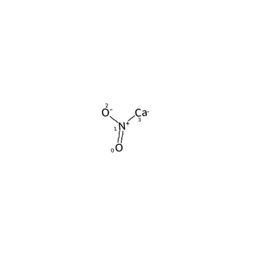 O=[N+]([O-])[Ca]